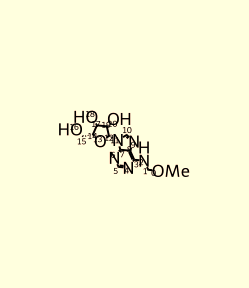 COCNc1ncnc2c1ncn2[C@@H]1O[C@H](CO)[C@@H](O)[C@H]1O